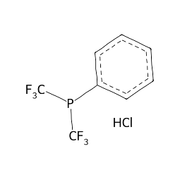 Cl.FC(F)(F)P(c1ccccc1)C(F)(F)F